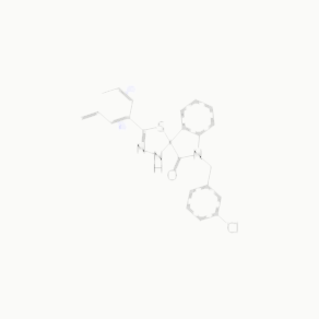 C=C/C=C(\C=C/C)C1=NNC2(S1)C(=O)N(Cc1cccc(Cl)c1)c1ccccc12